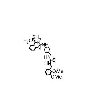 COc1cccc(CNC(=S)NCC2CCC(Nc3nc(N(C)C)c4ccccc4n3)CC2)c1OC